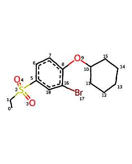 CCS(=O)(=O)c1ccc(OC2CCCCC2)c(Br)c1